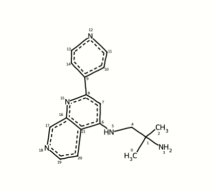 CC(C)(N)CNc1cc(-c2ccncc2)nc2cnccc12